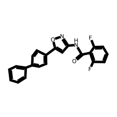 O=C(Nc1cc(-c2ccc(-c3ccccc3)cc2)on1)c1c(F)cccc1F